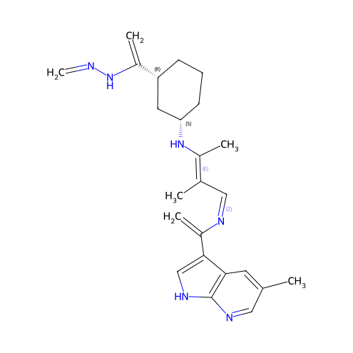 C=NNC(=C)[C@@H]1CCC[C@H](N/C(C)=C(C)/C=N\C(=C)c2c[nH]c3ncc(C)cc23)C1